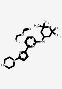 CC1(C)CC(Nc2nccc(-c3ccc(N4CCNCC4)s3)n2)CC(C)(C)N1.CCOC=O